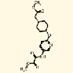 COC(=O)C[C@H]1CC[C@@H](Oc2ccc(NC(=O)C(=O)OC)cn2)CC1